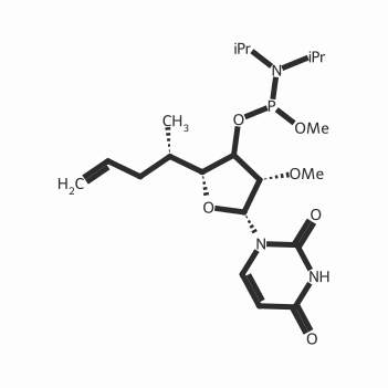 C=CC[C@H](C)[C@H]1O[C@@H](n2ccc(=O)[nH]c2=O)[C@@H](OC)C1OP(OC)N(C(C)C)C(C)C